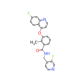 Cc1c(Oc2ccnc3cc(F)ccc23)cccc1C(=O)NCc1ccncc1F